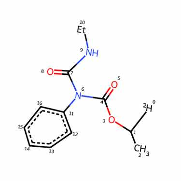 [2H]C(C)OC(=O)N(C(=O)NCC)c1ccccc1